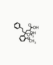 COc1ccccc1C(C)(CCc1ccccc1)CC(O)C(=O)O